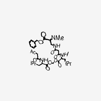 CNC(CNC(=O)CC(=O)NC(CC(C)C)C(=O)OCOC(=O)C(CC(C)C)NC(=O)CC(C)=O)C(=O)OCc1ccccc1